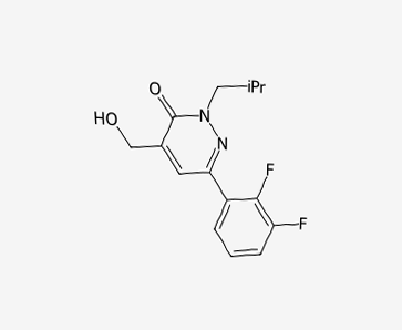 CC(C)Cn1nc(-c2cccc(F)c2F)cc(CO)c1=O